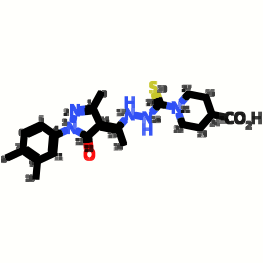 CC1=NN(c2ccc(C)c(C)c2)C(=O)C1=C(C)NNC(=S)N1CCC(C(=O)O)CC1